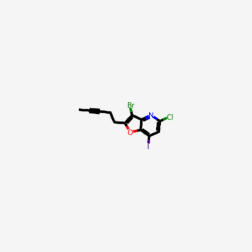 CC#CCCc1oc2c(I)cc(Cl)nc2c1Br